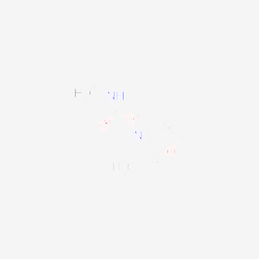 CCC1OCSC1=NOC(=O)NC